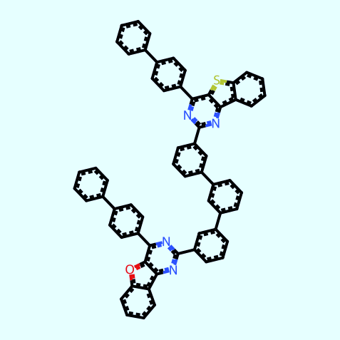 c1ccc(-c2ccc(-c3nc(-c4cccc(-c5cccc(-c6cccc(-c7nc(-c8ccc(-c9ccccc9)cc8)c8sc9ccccc9c8n7)c6)c5)c4)nc4c3oc3ccccc34)cc2)cc1